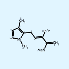 C=C(NC)/C(=C/Cc1c(C)cnn1C)CCC